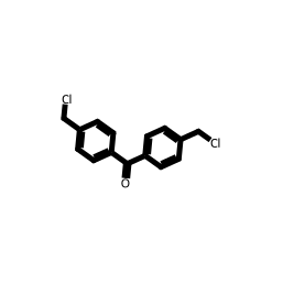 O=C(c1ccc(CCl)cc1)c1ccc(CCl)cc1